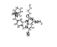 CCCCOc1nc(N)c2cc(C#N)n(Cc3ccc(CN4CC5CCC(C4)N5)cc3)c2n1